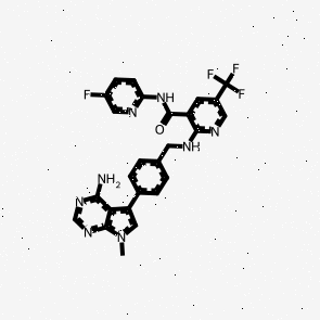 Cn1cc(-c2ccc(CNc3ncc(C(F)(F)F)cc3C(=O)Nc3ccc(F)cn3)cc2)c2c(N)ncnc21